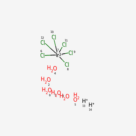 O.O.O.O.O.O.[Cl][Ir-2]([Cl])([Cl])([Cl])([Cl])[Cl].[H+].[H+]